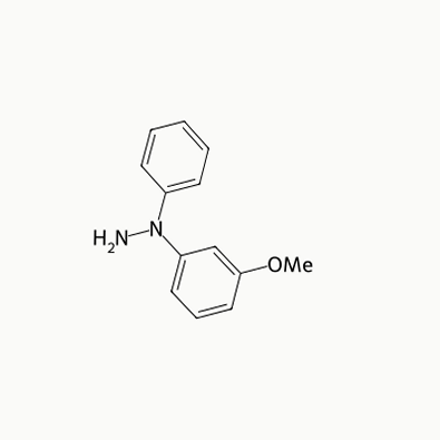 COc1cccc(N(N)c2ccccc2)c1